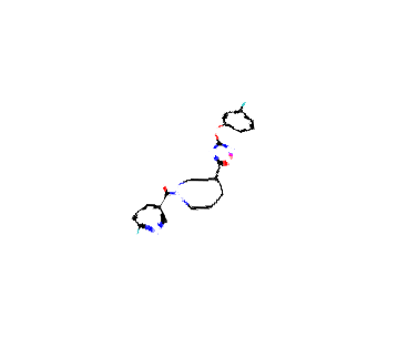 O=C(c1ccc(F)nc1)N1CCCC(c2nc(Oc3cccc(F)c3)no2)C1